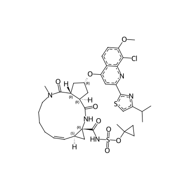 COc1ccc2c(O[C@@H]3C[C@H]4C(=O)N[C@]5(C(=O)NS(=O)(=O)OC6(C)CC6)C[C@H]5C=CCCCCN(C)C(=O)[C@@H]4C3)cc(-c3nc(C(C)C)cs3)nc2c1Cl